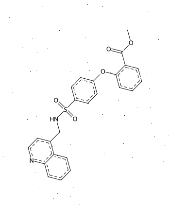 COC(=O)c1ccccc1Oc1ccc(S(=O)(=O)NCc2ccnc3ccccc23)cc1